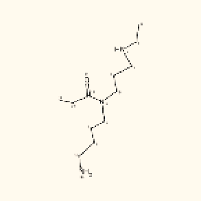 CCNCCCN(CCCCN)C(=O)CC